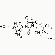 CC(OCCO)OC(C)N1C(=O)N(C(C)OC(C)OCCO)C(C)(C)C1=O